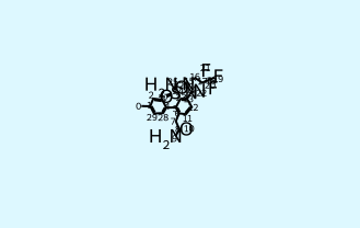 Cc1ccc(-c2c(CC(N)=O)ccc(-n3ncc(C(F)(F)F)n3)c2S(N)(=O)=O)cc1